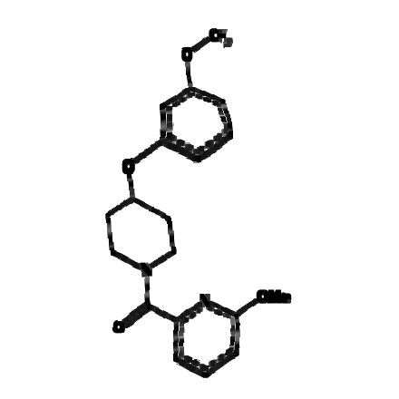 COc1cccc(C(=O)N2CCC(Oc3cccc(OC(F)(F)F)c3)CC2)n1